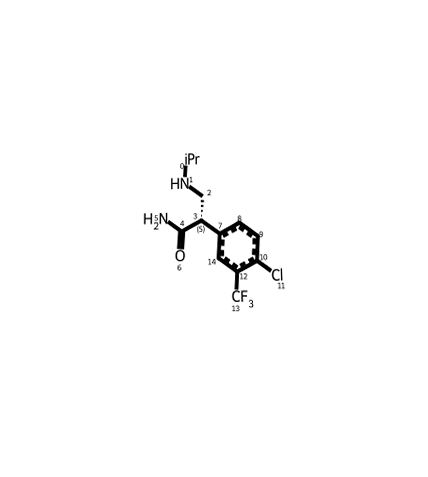 CC(C)NC[C@@H](C(N)=O)c1ccc(Cl)c(C(F)(F)F)c1